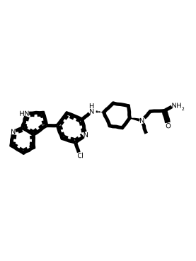 CN(CC(N)=O)[C@H]1CC[C@H](Nc2cc(-c3c[nH]c4ncccc34)cc(Cl)n2)CC1